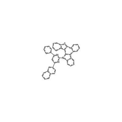 c1ccc(-c2cc(-c3ccc4ccccc4c3)nc(-n3c4ccccc4c4c5ccccc5c5sc6ccccc6c5c43)n2)cc1